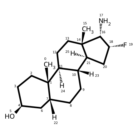 C[C@]12CC[C@H](O)C[C@H]1CC[C@@H]1[C@@H]2CC[C@]2(C)[C@H](N)[C@H](F)C[C@@H]12